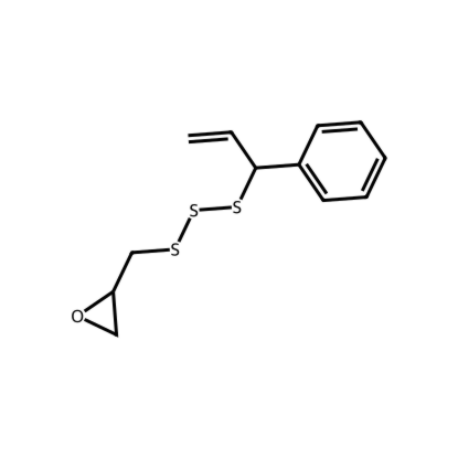 C=CC(SSSCC1CO1)c1ccccc1